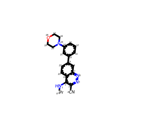 CC(C)Nc1c(C#N)nnc2cc(-c3cccc(N4CCOCC4)c3)ccc12